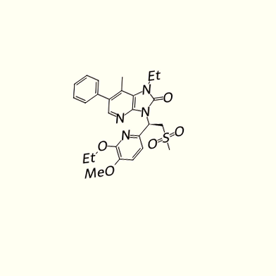 CCOc1nc([C@H](CS(C)(=O)=O)n2c(=O)n(CC)c3c(C)c(-c4ccccc4)cnc32)ccc1OC